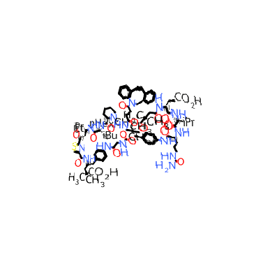 CCCCCCN(C(=O)[C@@H](NC(=O)[C@H]1CCCCN1C)[C@@H](C)CC)[C@H](C[C@@H](OCC)c1nc(C(=O)N[C@@H](Cc2ccc(NC(=O)CNC(=O)OCc3ccc(NC(=O)[C@H](CCCNC(N)=O)NC(=O)[C@@H](NC(=O)[C@H](CCC(=O)O)NC(=O)CC(C)(C)COCC(C)(C)CNC(=O)CCC(=O)N4Cc5ccccc5C#Cc5ccccc54)C(C)C)cc3)cc2)CC(C)(C)C(=O)O)cs1)C(C)C